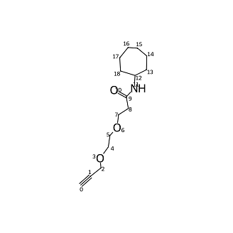 C#CCOCCOCCC(=O)NC1CCCCCC1